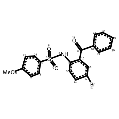 COc1ccc(S(=O)(=O)Nc2ccc(Br)cc2C(=O)c2ccccc2)cc1